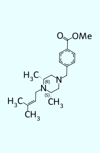 COC(=O)c1ccc(CN2C[C@@H](C)N(CC=C(C)C)[C@@H](C)C2)cc1